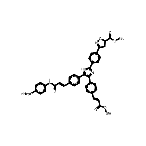 CCCCCCCc1ccc(NC(=O)/C=C/c2ccc(-c3[nH]c(-c4ccc(C5=NOC(C(=O)OC(C)(C)C)C5)cc4)nc3-c3ccc(/C=C/C(=O)OC(C)(C)C)cc3)cc2)cc1